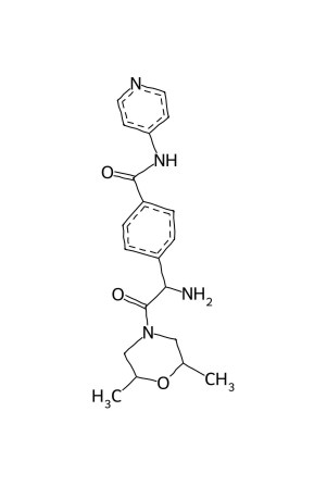 CC1CN(C(=O)C(N)c2ccc(C(=O)Nc3ccncc3)cc2)CC(C)O1